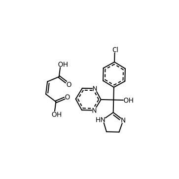 O=C(O)/C=C\C(=O)O.OC(C1=NCCN1)(c1ccc(Cl)cc1)c1ncccn1